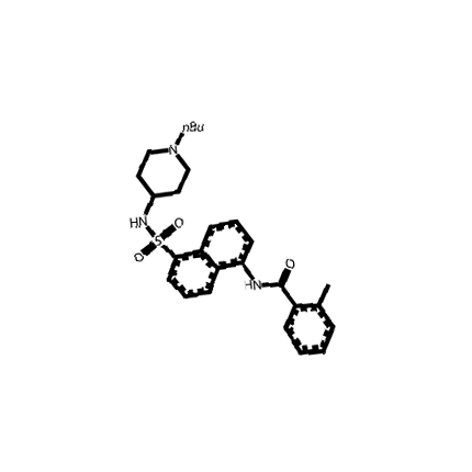 CCCCN1CCC(NS(=O)(=O)c2cccc3c(NC(=O)c4ccccc4C)cccc23)CC1